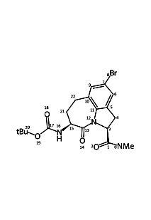 CNC(=O)[C@@H]1Cc2cc(Br)cc3c2N1C(=O)[C@@H](NC(=O)OC(C)(C)C)CC3